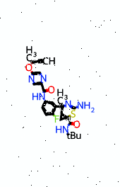 C#C[C@H](C)Oc1cnc(C(=O)Nc2ccc(F)c([C@@]3(C)N=C(N)S[C@@]4(C(=O)NC(C)(C)C)CC43)c2)cn1